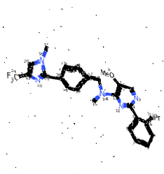 COc1cnc(-c2ccccc2C(C)C)nc1N(C)Cc1ccc(-c2nc(C(F)(F)F)cn2C)cc1